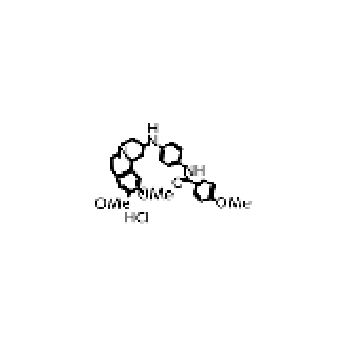 COc1ccc(C(=O)Nc2ccc(NC3CCN4CCc5cc(OC)c(OC)cc5C4C3)cc2)cc1.Cl